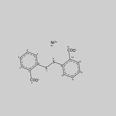 O=C([O-])c1ccccc1SSc1ccccc1C(=O)[O-].[Ni+2]